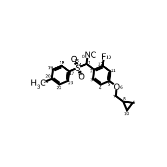 [C-]#[N+]C(c1ccc(OCC2CC2)cc1F)S(=O)(=O)c1ccc(C)cc1